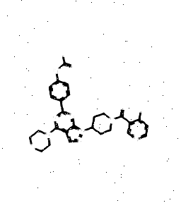 Cc1ccncc1C(=O)N1CCC(n2ncc3c(N4CCOCC4)nc(-c4ccc(NC(=O)O)cc4)nc32)CC1